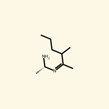 CCCC(C)/C(C)=N\[C@H](C)N